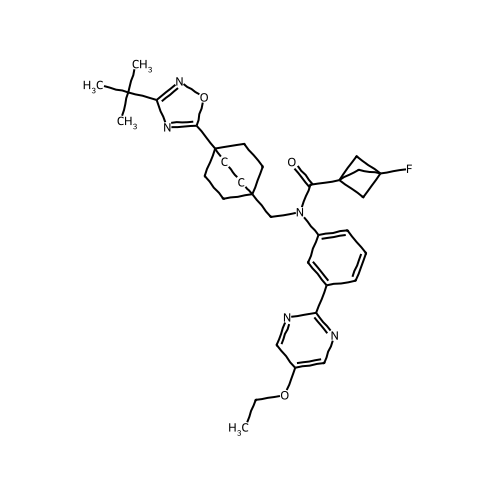 CCOc1cnc(-c2cccc(N(CC34CCC(c5nc(C(C)(C)C)no5)(CC3)CC4)C(=O)C34CC(F)(C3)C4)c2)nc1